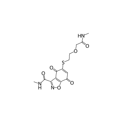 CNC(=O)COCCSC1=CC(=O)c2onc(C(=O)NC)c2C1=O